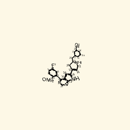 COc1ccc(F)cc1-c1ncnc2[nH]c(C3=CCNC(Cc4cccc(C#N)c4)C3)cc12